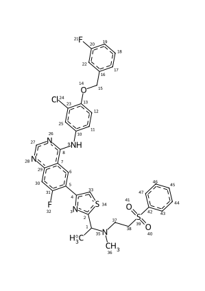 CC(c1nc(-c2cc3c(Nc4ccc(OCc5cccc(F)c5)c(Cl)c4)ncnc3cc2F)cs1)N(C)CCS(=O)(=O)c1ccccc1